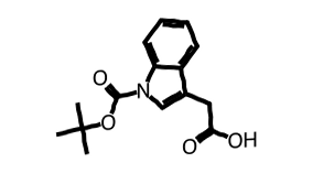 CC(C)(C)OC(=O)n1cc(CC(=O)O)c2ccccc21